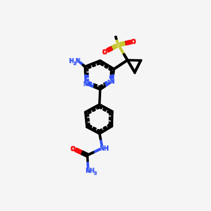 CS(=O)(=O)C1(c2cc(N)nc(-c3ccc(NC(N)=O)cc3)n2)CC1